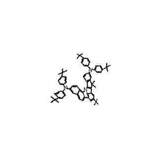 CC(C)(C)c1ccc(N(c2ccc(C(C)(C)C)cc2)c2ccc3c(c2)C(C)(C)c2c-3n3c4c2cc(C(C)(C)C)cc4c2ccc4cc(N(c5ccc(C(C)(C)C)cc5)c5ccc(C(C)(C)C)cc5)ccc4c23)cc1